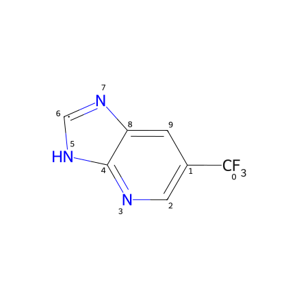 FC(F)(F)c1cnc2[nH][c]nc2c1